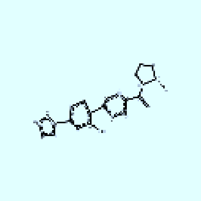 C=C(c1ncc(-c2ccc(-n3ccnn3)cc2O)nn1)[C@H]1CCC[C@@H]1F